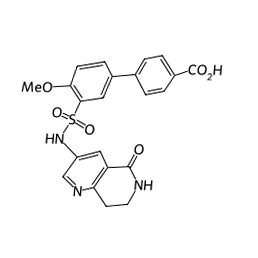 COc1ccc(-c2ccc(C(=O)O)cc2)cc1S(=O)(=O)Nc1cnc2c(c1)C(=O)NCC2